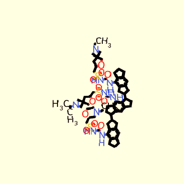 CCN1CCOC(CS(=O)(=O)NC(=O)Nc2c3c(cc4c2CC(C2CCc5c2cc2c(c5NC(=O)NS(=O)(=O)CC5CC6(CO5)CN(C(C)C)C6)C(C5Cc6cc7c(c(NC(=O)NS(=O)(=O)CC8CC9(CO8)CN(CC)C9)c6C5)CCC7)CC2)C4)CCC3)C1